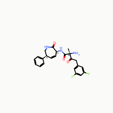 C[C@@](N)(C(=O)Cc1cc(F)cc(F)c1)C(=O)N[C@H]1C=C[C@@H](c2ccccc2)CNC1=O